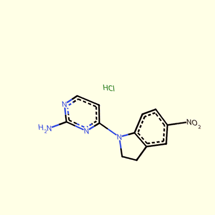 Cl.Nc1nccc(N2CCc3cc([N+](=O)[O-])ccc32)n1